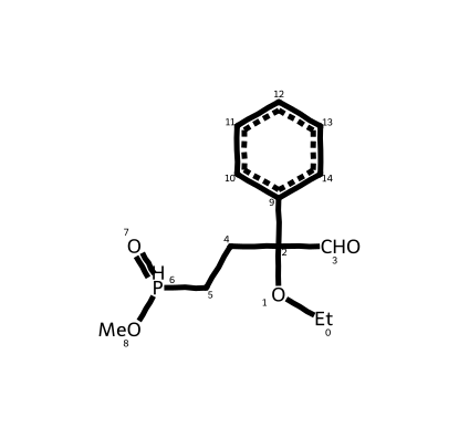 CCOC(C=O)(CC[PH](=O)OC)c1ccccc1